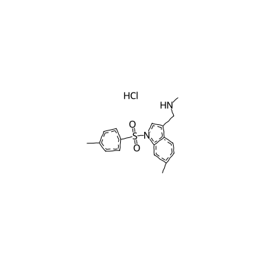 CNCc1cn(S(=O)(=O)c2ccc(C)cc2)c2cc(C)ccc12.Cl